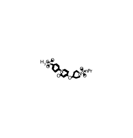 CCCS(=O)(=O)N1CCC(Oc2ccn(-c3ccc(S(C)(=O)=O)cc3)c(=O)c2)CC1